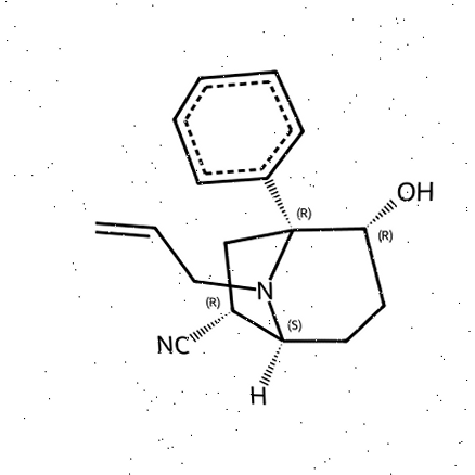 C=CCN1[C@H]2CC[C@@H](O)[C@]1(c1ccccc1)C[C@H]2C#N